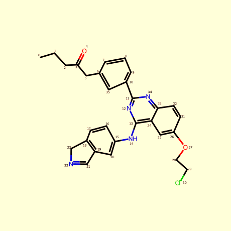 CCCC(=O)Cc1cccc(-c2nc(Nc3ccc4c(c3)C=NC4)c3cc(OCCCl)ccc3n2)c1